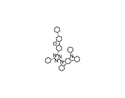 c1ccc(-c2ccc3c(c2)oc2cc(-c4nc(-c5ccccc5)nc(-n5c6ccccc6c6cc7c8ccccc8n(-c8ccccc8)c7cc65)n4)ccc23)cc1